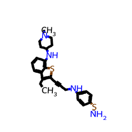 CCc1c(C#CCNc2ccc(SN)cc2)sc2c(NC3CCN(C)CC3)cccc12